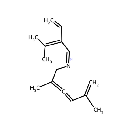 C=CC(/C=N\CC(C)=C=CC(=C)C)=C(C)C